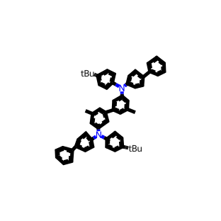 Cc1cc(-c2cc(C)cc(N(c3ccc(-c4ccccc4)cc3)c3ccc(C(C)(C)C)cc3)c2)cc(N(c2ccc(-c3ccccc3)cc2)c2ccc(C(C)(C)C)cc2)c1